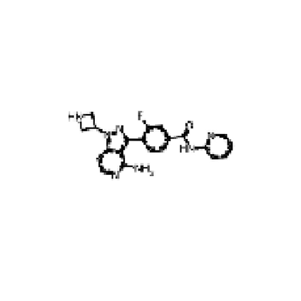 Nc1nccc2c1c(-c1ccc(C(=O)Nc3ccccn3)cc1F)nn2C1CNC1